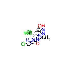 CC1CN(C(=O)C(N)Cc2ccc(Cl)cc2)CCN1c1ncnc2c1[C@H](C)C[C@H]2O.Cl.Cl